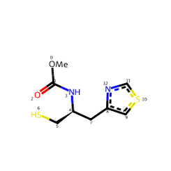 COC(=O)N[C@H](CS)Cc1cscn1